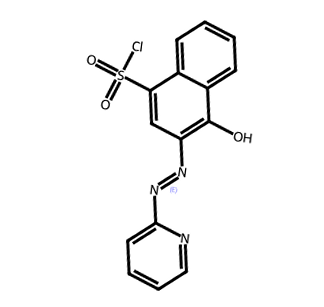 O=S(=O)(Cl)c1cc(/N=N/c2ccccn2)c(O)c2ccccc12